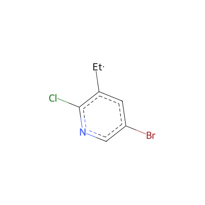 C[CH]c1cc(Br)cnc1Cl